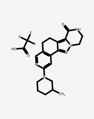 CC1CCCN(c2cc3c(cn2)CCc2c-3nn3c2C(=O)NCC3)C1.O=C(O)C(F)(F)F